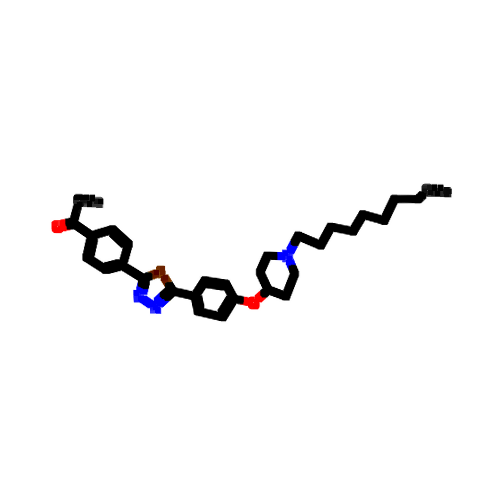 COCCCCCCCCN1CCC(Oc2ccc(-c3nnc(-c4ccc(C(=O)OC)cc4)s3)cc2)CC1